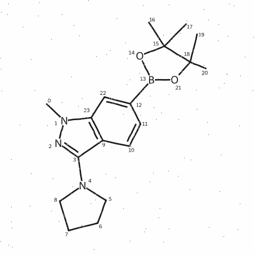 Cn1nc(N2CCCC2)c2ccc(B3OC(C)(C)C(C)(C)O3)cc21